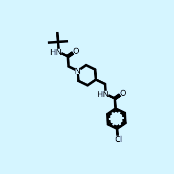 CC(C)(C)NC(=O)CN1CCC(CNC(=O)c2ccc(Cl)cc2)CC1